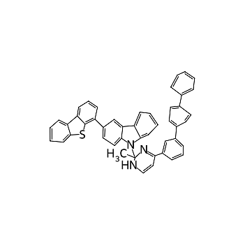 CC1(n2c3ccccc3c3cc(-c4cccc5c4sc4ccccc45)ccc32)N=C(c2cccc(-c3ccc(-c4ccccc4)cc3)c2)C=CN1